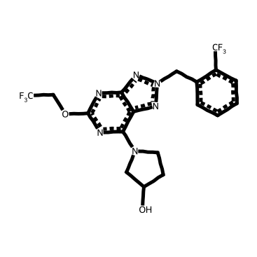 OC1CCN(c2nc(OCC(F)(F)F)nc3nn(Cc4ccccc4C(F)(F)F)nc23)C1